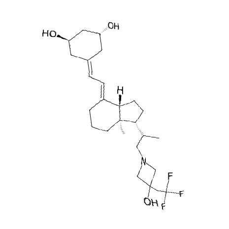 CC(CN1CC(O)(C(F)(F)F)C1)[C@H]1CC[C@H]2C(=CC=C3C[C@@H](O)C[C@H](O)C3)CCC[C@]12C